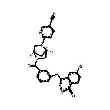 N#Cc1ccc(N2C[C@H]3C[C@@H]2CN3C(=O)c2cccc(Cc3n[nH]c(=O)c4ccc(Br)cc34)c2)nc1